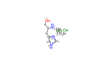 CC(=O)O.Cl.Cl.NC(CO)Cc1c[nH]cn1